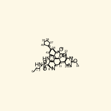 CCCNS(=O)(=O)c1cnc2cc(-c3cnc(OC)nc3OC)ccc2c1Nc1cc(C(=O)O)cc(C2CCCC2)c1